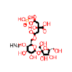 O=C(CC(O)(CC(=O)OP(=O)(O)O)C(=O)O)OC[C@H]1O[C@H](O[C@]2(CO)O[C@H](CO)[C@@H](O)[C@@H]2O)[C@H](O)[C@@H](O)[C@@H]1O.[NaH]